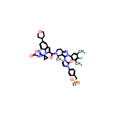 CCS(=O)(=O)Cc1ccc(-n2ccn(-c3c4c(nn3-c3cc(C)c(F)c(C)c3)CCN(C(=O)c3cc5cc(C6CCOCC6)ccc5n3C3(c5noc(=O)[nH]5)CC3)C4C)c2=O)cc1